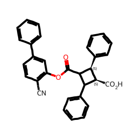 N#Cc1ccc(-c2ccccc2)cc1OC(=O)C1C(c2ccccc2)[C@H](C(=O)O)[C@@H]1c1ccccc1